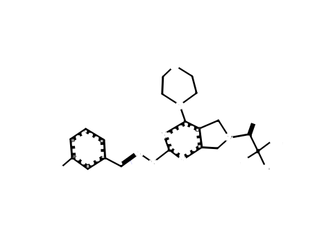 Cc1cccc(/C=N/Nc2nc3c(c(N4CCOCC4)n2)CN(C(=O)C(C)(C)O)C3)c1